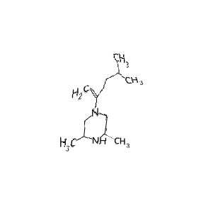 C=C(CCC(C)C)N1CC(C)NC(C)C1